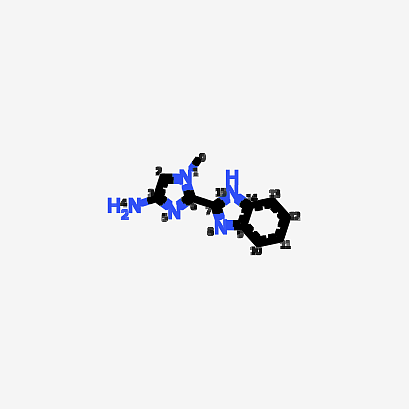 Cn1cc(N)nc1-c1nc2ccccc2[nH]1